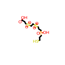 O=C(O)CCS(=O)(=O)CCS(=O)(=O)CCCP(=O)(O)CCCS